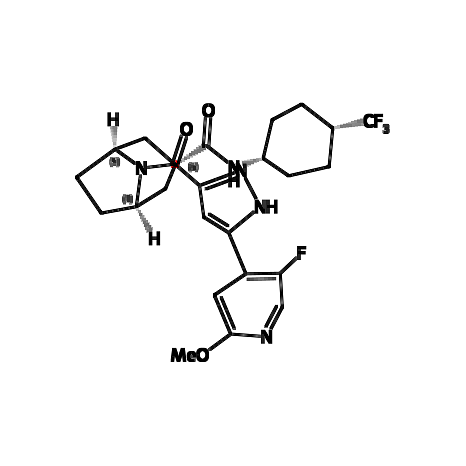 COc1cc(-c2cc(C(=O)N3[C@@H]4CC[C@H]3C[C@H](C(=O)N[C@H]3CC[C@@H](C(F)(F)F)CC3)C4)n[nH]2)c(F)cn1